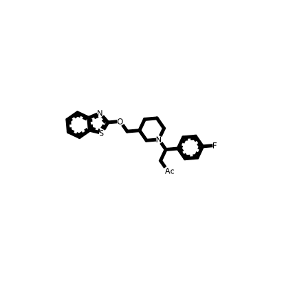 CC(=O)CC(c1ccc(F)cc1)N1CCCC(COc2nc3ccccc3s2)C1